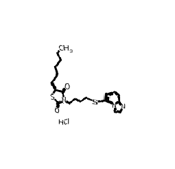 CCCCCC=C1SC(=O)N(CCCCSc2cccc3nccn23)C1=O.Cl